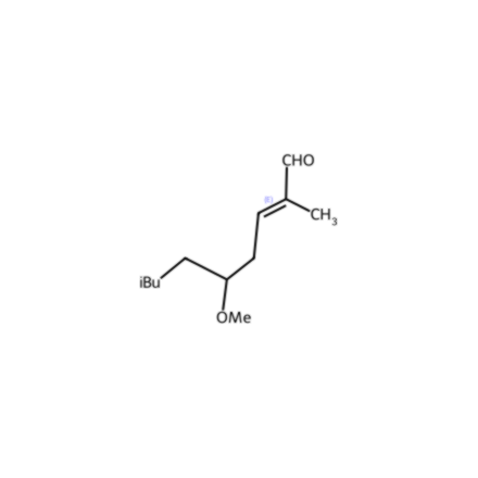 CCC(C)CC(C/C=C(\C)C=O)OC